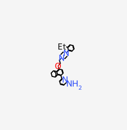 CCc1ccccc1N1CCN(CCOc2ccc(-c3cccc(N)n3)c3c2C2CCC3CC2)CC1